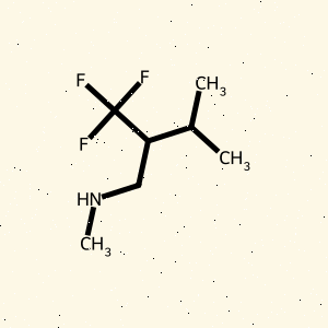 CNCC(C(C)C)C(F)(F)F